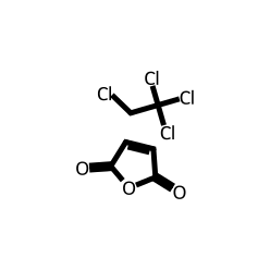 ClCC(Cl)(Cl)Cl.O=C1C=CC(=O)O1